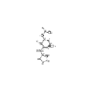 CC(=O)Oc1cccc(NC2=NCCC2)c1C.Cl